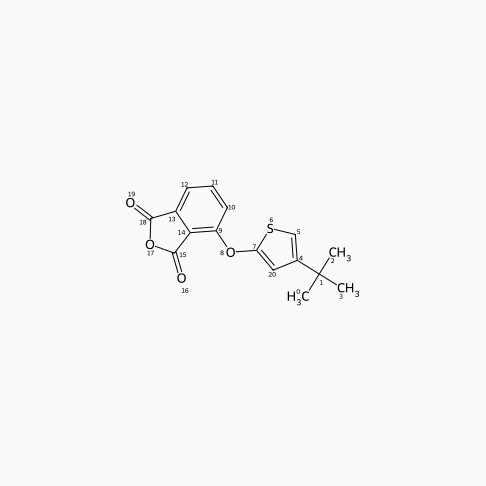 CC(C)(C)c1csc(Oc2cccc3c2C(=O)OC3=O)c1